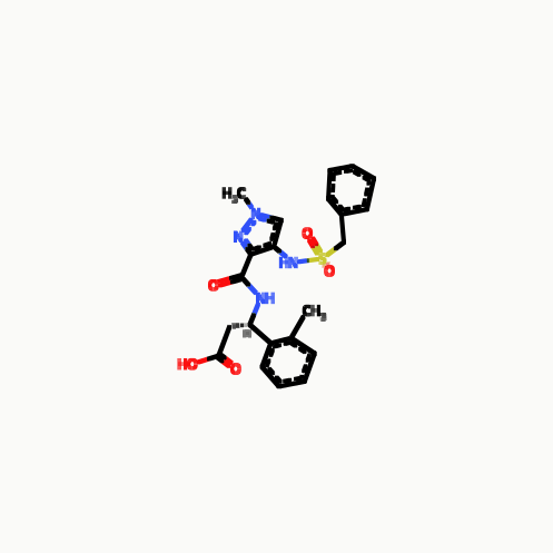 Cc1ccccc1[C@H](CC(=O)O)NC(=O)c1nn(C)cc1NS(=O)(=O)Cc1ccccc1